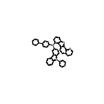 c1ccc(-c2ccc(N(c3ccc4c(c3)c3ccccc3n4-c3ccccc3)c3cccc4sc5c(ccc6cccnc65)c34)cc2)cc1